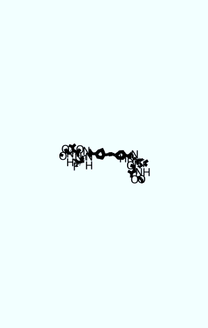 COC(=O)N[C@H](C(=O)N1C[C@H](F)C[C@H]1c1ncc(-c2ccc(C#Cc3ccc(-c4cnc([C@@H]5C[Si](C)(C)CN5C(=O)[C@@H](NC(=O)OC)C(C)C)[nH]4)cc3)cc2)[nH]1)C(C)C